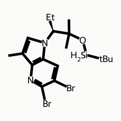 CC[C@H](n1cc(C)c2nc(Br)c(Br)cc21)C(C)(C)O[SiH2]C(C)(C)C